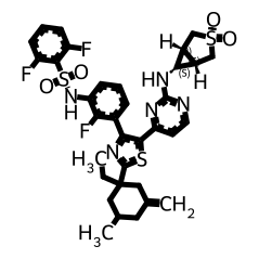 C=C1CC(C)CC(CC)(c2nc(-c3cccc(NS(=O)(=O)c4c(F)cccc4F)c3F)c(-c3ccnc(N[C@@H]4[C@@H]5CS(=O)(=O)C[C@@H]54)n3)s2)C1